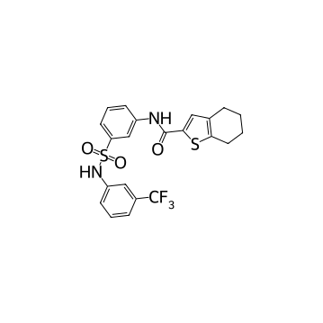 O=C(Nc1cccc(S(=O)(=O)Nc2cccc(C(F)(F)F)c2)c1)c1cc2c(s1)CCCC2